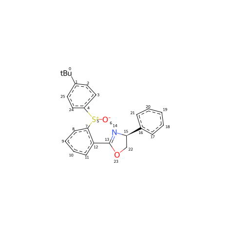 CC(C)(C)c1ccc([S+]([O-])c2ccccc2C2=N[C@@H](c3ccccc3)CO2)cc1